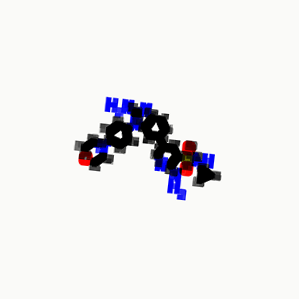 Nc1ncc(-c2ccc3nc(N)n(-c4ccc(N5CCOCC5)cc4)c3c2)cc1S(=O)(=O)NC1CC1